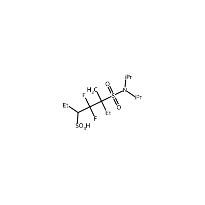 CCC(C(F)(F)C(C)(CC)S(=O)(=O)N(C(C)C)C(C)C)S(=O)(=O)O